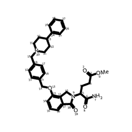 COC(=O)CCC(C(N)=O)N1Cc2c(OCc3ccc(CN4CCC(c5ccccc5)CC4)cc3)cccc2C1=O